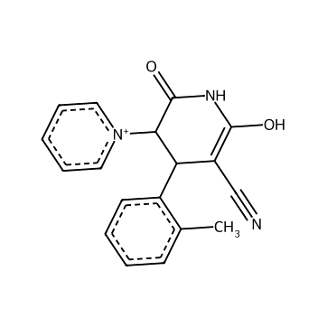 Cc1ccccc1C1C(C#N)=C(O)NC(=O)C1[n+]1ccccc1